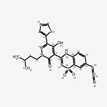 CC(C)CCn1nc(-c2cncs2)c(O)c(C2=NS(=O)(=O)c3cc(N=[N+]=[N-])ccc3N2)c1=O